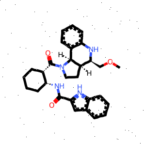 COC[C@@H]1Nc2ccccc2[C@H]2[C@@H]1CCN2C(=O)[C@H]1CCCC[C@H]1NC(=O)c1cc2ccccc2[nH]1